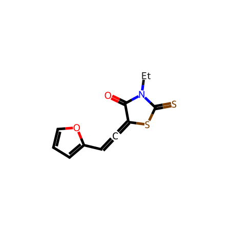 CCN1C(=O)C(=C=Cc2ccco2)SC1=S